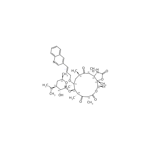 CC[C@H]1OC(=O)[C@H](C)C(=O)[C@H](C)[C@@H](OC2O[C@H](C)C[C@H](N(C)C)[C@H]2O)[C@@](C)(OC/C=C/c2cnc3ccccc3c2)C[C@@H](C)C(=O)[C@H](C)[C@H]2NC(=O)O[C@@]21C